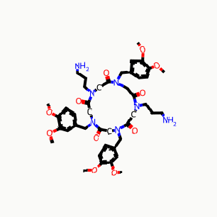 COc1ccc(CN2CC(=O)N(CCCN)CC(=O)N(Cc3ccc(OC)c(OC)c3)CC(=O)N(Cc3ccc(OC)c(OC)c3)CC(=O)N(CCCN)CC2=O)cc1OC